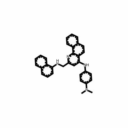 CN(C)c1ccc(Nc2cc(CNc3cccc4ccccc34)nc3c2ccc2ccccc23)cc1